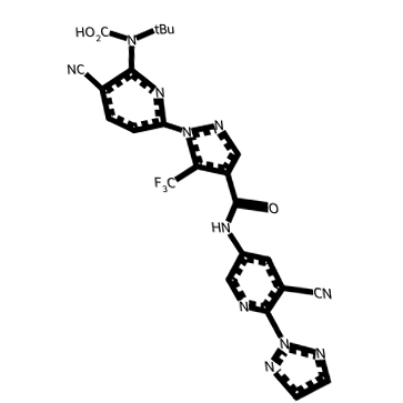 CC(C)(C)N(C(=O)O)c1nc(-n2ncc(C(=O)Nc3cnc(-n4nccn4)c(C#N)c3)c2C(F)(F)F)ccc1C#N